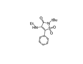 CCNC1=C(c2ccccc2)S(=O)(=O)N(C(C)(C)C)C1=O